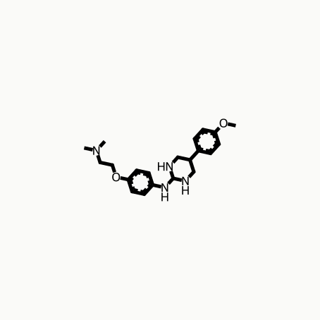 COc1ccc(C2CNC(Nc3ccc(OCCN(C)C)cc3)NC2)cc1